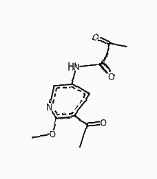 COc1ncc(NC(=O)C(C)=O)cc1C(C)=O